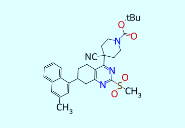 Cc1cc(C2CCc3c(nc(S(C)(=O)=O)nc3C3(C#N)CCN(C(=O)OC(C)(C)C)CC3)C2)c2ccccc2c1